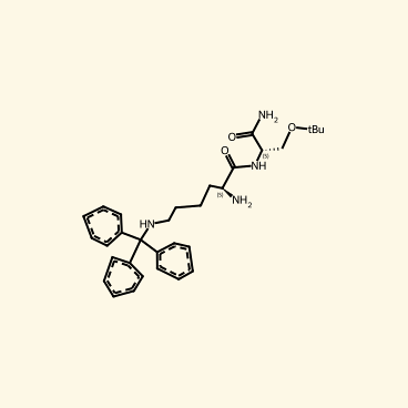 CC(C)(C)OC[C@H](NC(=O)[C@@H](N)CCCCNC(c1ccccc1)(c1ccccc1)c1ccccc1)C(N)=O